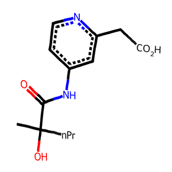 CCCC(C)(O)C(=O)Nc1ccnc(CC(=O)O)c1